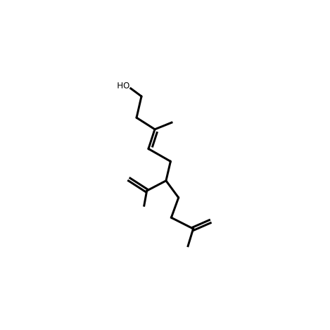 C=C(C)CCC(C/C=C(\C)CCO)C(=C)C